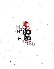 CC(C)(C)O[C@@H]1CCC2C3CCC(=O)[C@@](C)(CCC4(C)OCCO4)[C@@H]3CC[C@]21C